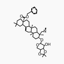 C=NC[C@@]1(C)C2CC[C@@]3(C)C4CC[C@@]5(C(=O)OCc6ccccc6)CCC(C)(C)CC5C4=CCC3[C@@]2(C)CC[C@@H]1OC1OCC2OC(C)(C)OC2C1O